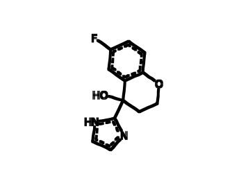 OC1(c2ncc[nH]2)CCOc2ccc(F)cc21